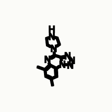 Cc1cc(C)c2nc(N3CCNCC3)c3nnnn3c2c1